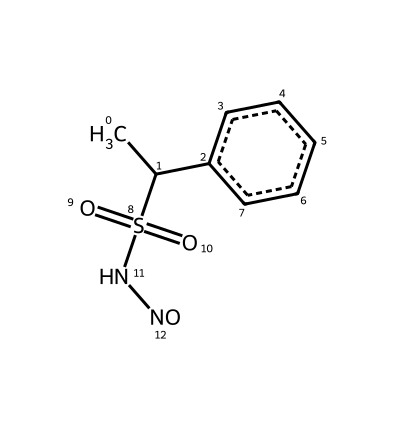 CC(c1ccccc1)S(=O)(=O)NN=O